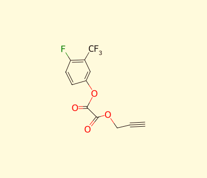 C#CCOC(=O)C(=O)Oc1ccc(F)c(C(F)(F)F)c1